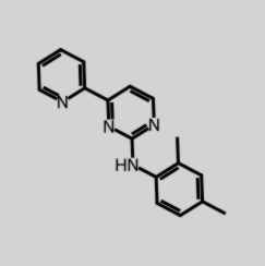 Cc1ccc(Nc2nccc(-c3ccccn3)n2)c(C)c1